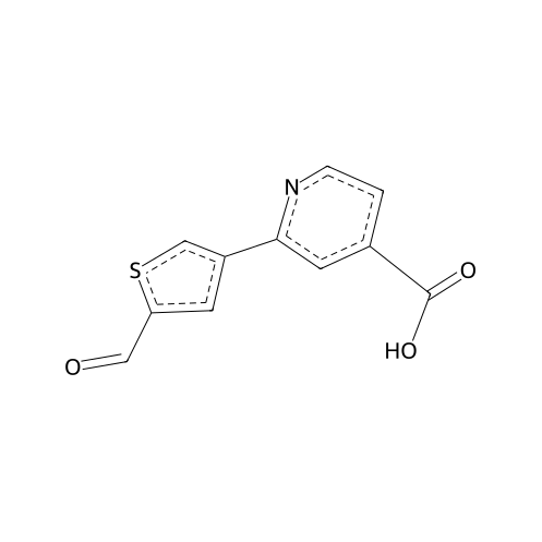 O=Cc1cc(-c2cc(C(=O)O)ccn2)cs1